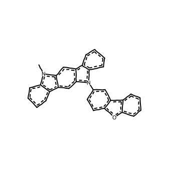 Cn1c2ccccc2c2cc3c(cc21)c1ccccc1n3-c1ccc2oc3ccccc3c2c1